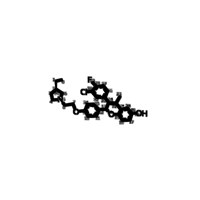 CC[C@@H]1CCN(CCOc2ccc(C3Oc4ccc(O)cc4C(C)=C3c3ccc(F)c(Cl)c3)cc2)C1